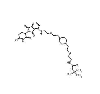 CC(C)(C)OC(=O)NCCOCCN1CCN(CCOCCNc2cccc3c2C(=O)N(C2CCC(=O)NC2=O)C3=O)CC1